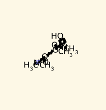 C/N=C(\C)CC(=O)OCCCCOC(=O)c1c(C)n(C)c2ccc(O)cc12